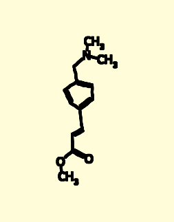 COC(=O)C=Cc1ccc(CN(C)C)cc1